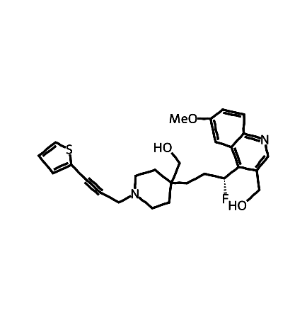 COc1ccc2ncc(CO)c([C@H](F)CCC3(CO)CCN(CC#Cc4cccs4)CC3)c2c1